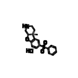 CC12CCNCC1Oc1ccc(S(=O)(=O)c3ccccc3)cc12.Cl